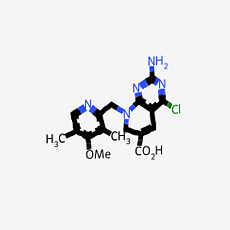 COc1c(C)cnc(CN2CC(C(=O)O)=Cc3c(Cl)nc(N)nc32)c1C